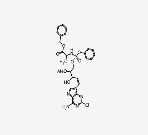 COC(COP(=O)(N[C@@H](C)C(=O)OCc1ccccc1)Oc1ccccc1)[C@H](O)/C=C\n1cnc2c(N)nc(Cl)nc21